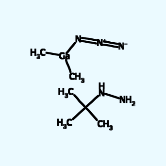 CC(C)(C)NN.[CH3][Ga]([CH3])[N]=[N+]=[N-]